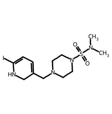 CN(C)S(=O)(=O)N1CCN(CC2=CC=C(I)NC2)CC1